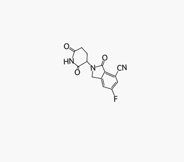 N#Cc1cc(F)cc2c1C(=O)N(C1CCC(=O)NC1=O)C2